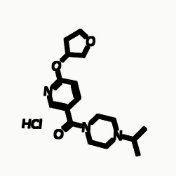 CC(C)N1CCN(C(=O)c2ccc(OC3CCOC3)nc2)CC1.Cl